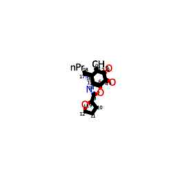 C=C1C(=O)C(=O)c2oc(C3CCCO3)nc2/C1=C/CCC